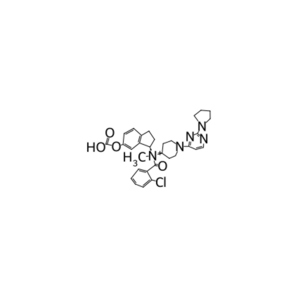 C[N+](C(=O)c1ccccc1Cl)(C1CCN(c2ccnc(N3CCCC3)n2)CC1)[C@@H]1CCc2ccc(OC(=O)O)cc21